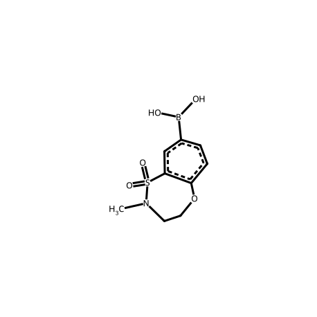 CN1CCOc2ccc(B(O)O)cc2S1(=O)=O